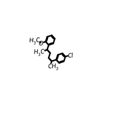 COc1ccccc1C(C)CCC(C)c1ccc(Cl)cc1